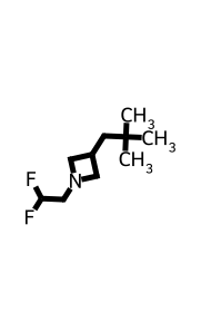 CC(C)(C)CC1CN(CC(F)F)C1